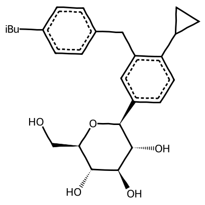 CCC(C)c1ccc(Cc2cc([C@@H]3O[C@H](CO)[C@@H](O)[C@H](O)[C@H]3O)ccc2C2CC2)cc1